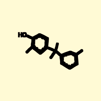 Cc1cccc(C(C)(C)c2ccc(O)c(C)c2)c1